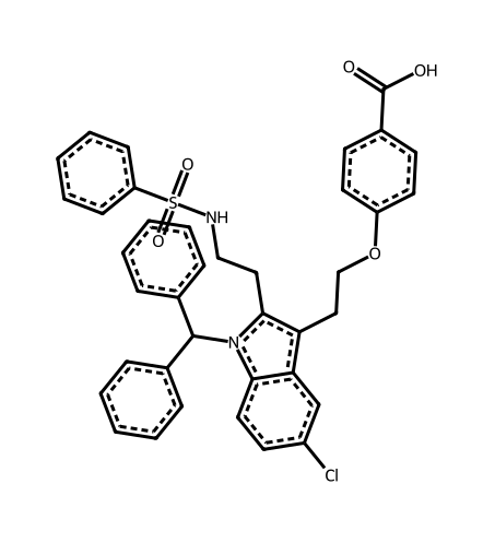 O=C(O)c1ccc(OCCc2c(CCNS(=O)(=O)c3ccccc3)n(C(c3ccccc3)c3ccccc3)c3ccc(Cl)cc23)cc1